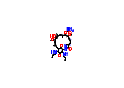 CCCNC1=C2C[C@@H](C)C[C@H](OC)[C@H](O)[C@@H](C)/C=C(\C)[C@H](OC(N)=O)[C@@H](OC)/C=C\C=C(/C)C(=O)NC(=C(NCCC)C1=O)C2=O